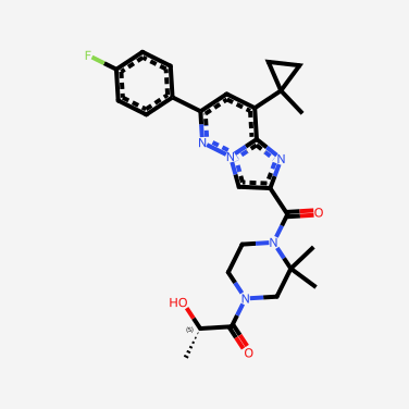 C[C@H](O)C(=O)N1CCN(C(=O)c2cn3nc(-c4ccc(F)cc4)cc(C4(C)CC4)c3n2)C(C)(C)C1